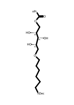 CCCCCCCCCCCCCCCCOC[C@H](O)[C@@H](O)[C@H](O)COC(=O)CCC